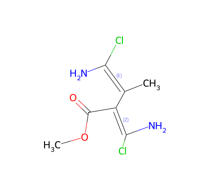 COC(=O)C(=C(/N)Cl)/C(C)=C(\N)Cl